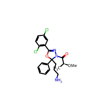 CO[C@@H](C)C(=O)N1N=C(c2cc(Cl)ccc2Cl)OC1(CCCN)c1ccccc1